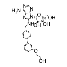 Nc1ncnc2c1nc(NCc1ccc(-c3cccc(OCCO)c3)cc1)n2[C@@H]1O[C@H](CO)[C@@H](O)[C@H]1O